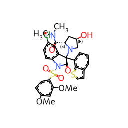 COc1ccc(S(=O)(=O)N2C(=O)C(c3cccc4ccsc34)(N3C[C@H](O)C[C@H]3C(=O)N(C)C)c3cc(Cl)ccc32)c(OC)c1